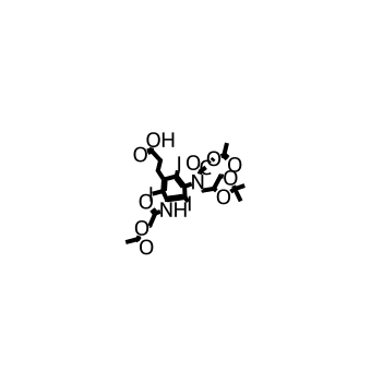 CC(=O)OCC(=O)Nc1c(I)c(CCC(=O)O)c(I)c(N(CC2COC(C)(C)O2)C(=O)COC(C)=O)c1I